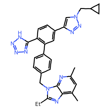 CCc1nc2c(C)cc(C)nc2n1Cc1ccc(-c2cc(-c3cn(CC4CC4)nn3)ccc2-c2nnn[nH]2)cc1